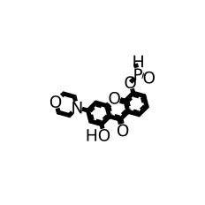 C[PH](=O)Oc1cccc2c(=O)c3c(O)cc(N4CCOCC4)cc3oc12